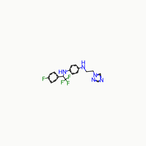 Fc1ccc(C(Nc2ccc(NCCn3cncn3)cc2)C(F)(F)F)cc1